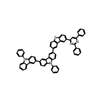 c1ccc(-c2cc(-c3ccc4sc5ccc(-c6ccc7c(c6)c6cc(-c8ccc9c(c8)c8ccccc8n9-c8ccccc8)ccc6n7-c6ccccc6)cc5c4c3)nc(-c3ccccc3)n2)cc1